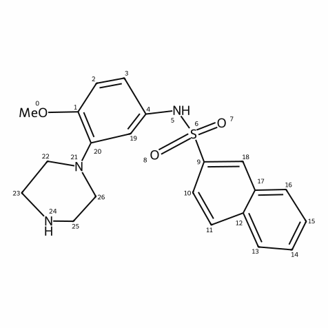 COc1ccc(NS(=O)(=O)c2ccc3ccccc3c2)cc1N1CCNCC1